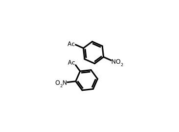 CC(=O)c1ccc([N+](=O)[O-])cc1.CC(=O)c1ccccc1[N+](=O)[O-]